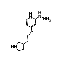 NNC1C=C(OCCC2CCNC2)C=CN1